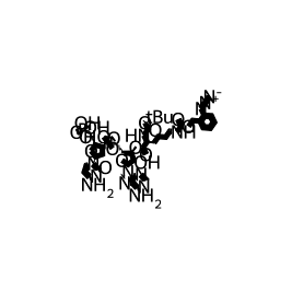 CC(C)(C)OC(=O)N[C@@H](CCCCNC(=O)OCc1ccccc1N=[N+]=[N-])C(=O)O[C@H]1[C@@H](O)[C@H](n2cnc3c(N)ncnc32)O[C@@H]1COP(=O)(O)[C@H]1C[C@H](n2ccc(N)nc2=O)O[C@@H]1COP(=O)(O)O